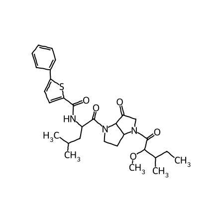 CCC(C)C(OC)C(=O)N1CC(=O)C2C1CCN2C(=O)C(CC(C)C)NC(=O)c1ccc(-c2ccccc2)s1